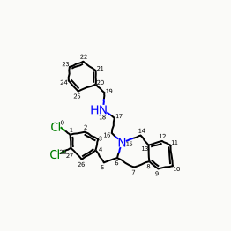 Clc1ccc(CC2Cc3ccccc3CN2CCNCc2ccccc2)cc1Cl